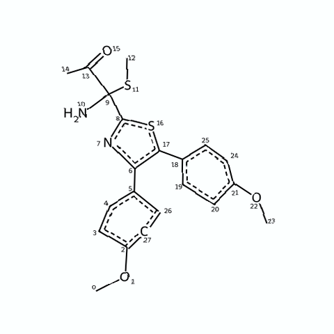 COc1ccc(-c2nc(C(N)(SC)C(C)=O)sc2-c2ccc(OC)cc2)cc1